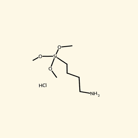 CO[Si](CCCCN)(OC)OC.Cl